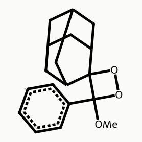 COC1(c2c[c]ccc2)OOC12C1CC3CC(C1)CC2C3